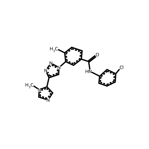 Cc1ccc(C(=O)Nc2cccc(Cl)c2)cc1-n1cc(-c2cncn2C)nn1